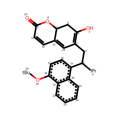 CC(C)C(CC1=C(O)CC2OC(=O)C=CC2=C1)c1ccc(OC(C)(C)C)c2ccccc12